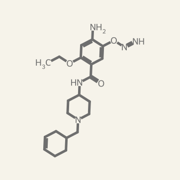 CCOc1cc(N)c(ON=N)cc1C(=O)NC1CCN(CC2CC=CCC2)CC1